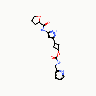 O=C(NCc1ccccn1)OC1CC(c2cc(NC(=O)C3CCCO3)[nH]n2)C1